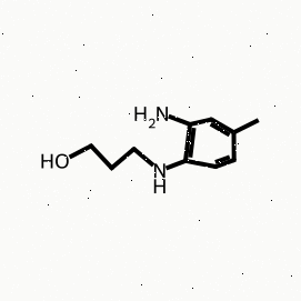 Cc1ccc(NCCCO)c(N)c1